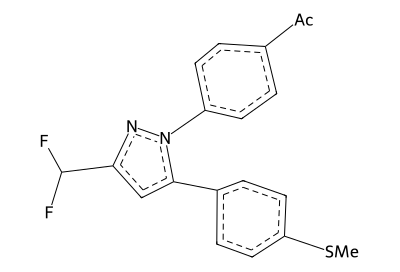 CSc1ccc(-c2cc(C(F)F)nn2-c2ccc(C(C)=O)cc2)cc1